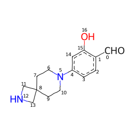 O=Cc1ccc(N2CCC3(CC2)CNC3)cc1O